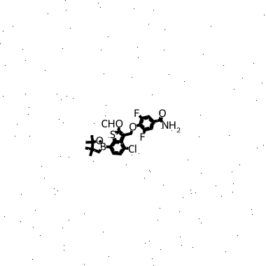 CC1(C)CB(c2ccc(Cl)c3c(COc4c(F)cc(C(N)=O)cc4F)c(C=O)sc23)OC1(C)C